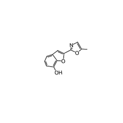 Cc1cnc(-c2cc3cccc(O)c3o2)o1